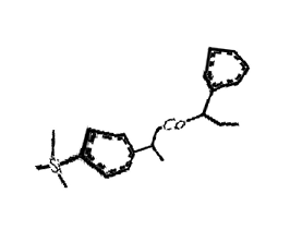 CC[CH]([Co][CH2]C(C)c1ccc([Si](C)(C)C)cc1)c1ccccc1